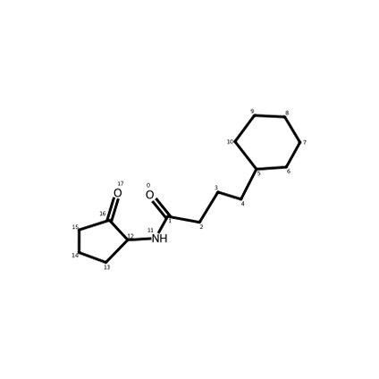 O=C(CCCC1CCCCC1)NC1CCCC1=O